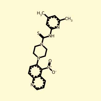 Cc1cc(C)nc(NC(=S)N2CCN(c3ccc4ncccc4c3[N+](=O)[O-])CC2)c1